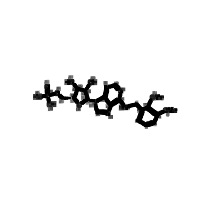 COc1cccc(CNc2ncnc3c2ncn3[C@@H]2O[C@H](COP(=O)(O)O)[C@@H](O)[C@H]2O)c1OC